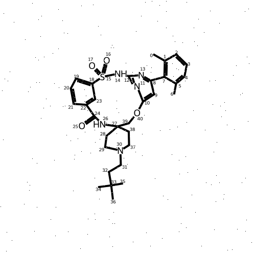 Cc1cccc(C)c1-c1cc2nc(n1)NS(=O)(=O)c1cccc(c1)C(=O)NC1(CCN(CCC(C)(C)C)CC1)CO2